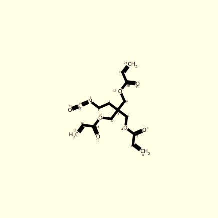 C=CC(=O)OCC(CCN=C=O)(COC(=O)C=C)COC(=O)C=C